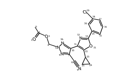 CC(=O)OCn1nc(C#N)c(-c2nc(-c3cccc(Cl)c3)oc2C2CC2)n1